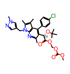 COC(=O)OCOC(=O)[C@@H](OC(C)(C)C)c1c(C)nc2c(c(C)c(C)n2Cc2cnn(C)c2)c1-c1ccc(Cl)cc1